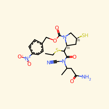 CCSC(C(=O)N(C#N)C(C)CC(N)=O)[C@@H]1C[C@H](S)CN1C(=O)OCc1ccc([N+](=O)[O-])cc1